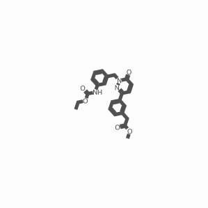 CCOC(=O)Nc1cccc(Cn2nc(-c3cccc(CC(=O)OC)c3)ccc2=O)c1